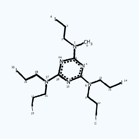 CN(CCI)c1nc(N(CCI)CCI)nc(N(CCI)CCI)n1